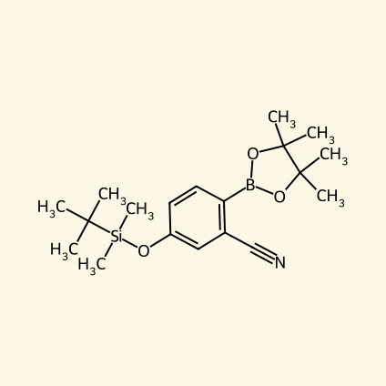 CC1(C)OB(c2ccc(O[Si](C)(C)C(C)(C)C)cc2C#N)OC1(C)C